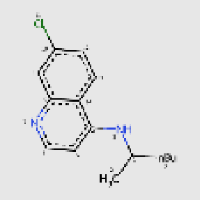 CCCCC(C)Nc1ccnc2cc(Cl)ccc12